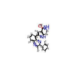 Cc1ccccc1-c1nc2c(-c3cc4c([nH]3)CCNC4=O)cccc2nc1C